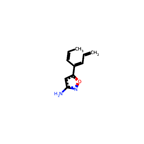 C=C/C=C(\C=C/C)c1cc(N)no1